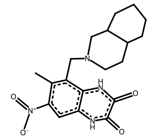 Cc1c([N+](=O)[O-])cc2[nH]c(=O)c(=O)[nH]c2c1CN1CCC2CCCCC2C1